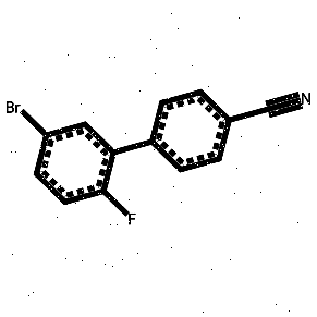 N#Cc1ccc(-c2cc(Br)ccc2F)cc1